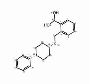 OB(O)c1cccnc1CO[C@H]1CC[C@@H](c2ccccc2)CC1